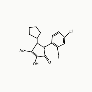 CC(=O)C1=C(O)C(=O)N(c2ccc(Cl)cc2F)C1C1CCCC1